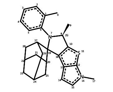 Cc1ccccc1N1[C@@H](C)c2sc3c(ccn3C)c2C12C1CC3CC(C1)CC2C3